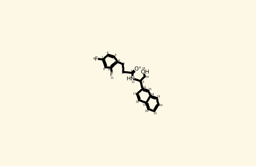 O=C(CCc1ccc(F)cc1F)NC(CO)c1ccc2ccccc2c1